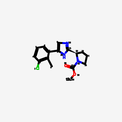 Cc1c(Cl)cccc1-c1cnc([C@@H]2CCCN2C(=O)OC(C)(C)C)[nH]1